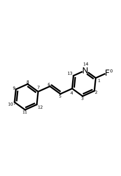 Fc1ccc(/C=C/c2cc[c]cc2)cn1